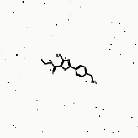 CCOC(=O)c1sc(-c2ccc(CN)cc2)nc1N